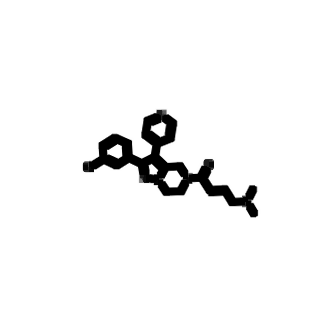 CN(C)C/C=C/C(=O)N1CCn2nc(-c3cccc(Cl)c3)c(-c3ccncc3)c2C1